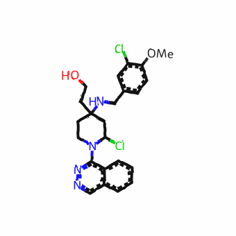 COc1ccc(CNC2(CCO)CCN(c3nncc4ccccc34)C(Cl)C2)cc1Cl